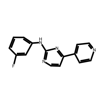 Fc1cccc(Nc2nccc(-c3ccncc3)n2)c1